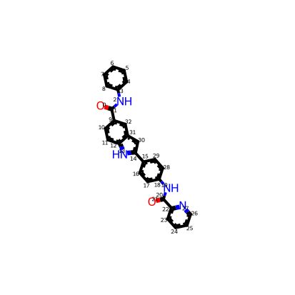 O=C(Nc1ccccc1)c1ccc2[nH]c(-c3ccc(NC(=O)c4ccccn4)cc3)cc2c1